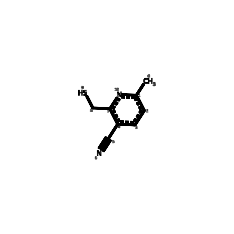 Cc1ccc(C#N)c(CS)n1